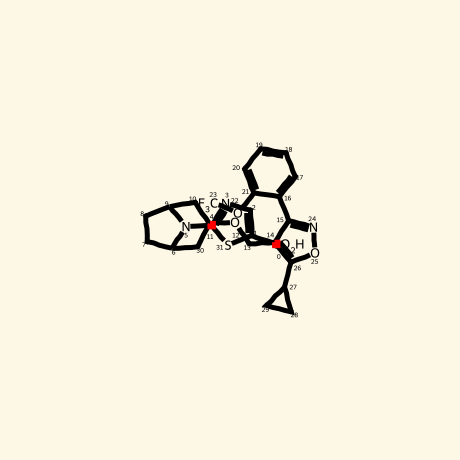 O=C(O)c1cnc(N2C3CCC2CC(OCc2c(-c4ccccc4OC(F)(F)F)noc2C2CC2)C3)s1